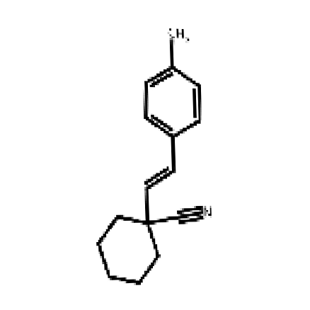 Cc1ccc(C=CC2(C#N)CCCCC2)cc1